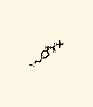 COCCN1CCC(NC(=O)OC(C)(C)C)CC1